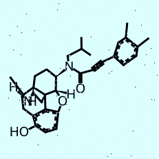 Cc1ccc(C#CC(=O)N(CC(C)C)[C@@H]2CC[C@H]3[C@H]4Cc5c(O)ccc6c5[C@@]3(CCN4C)[C@H]2O6)cc1C